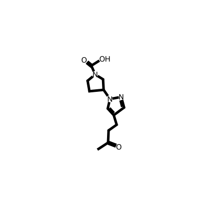 CC(=O)CCc1cnn(C2CCN(C(=O)O)C2)c1